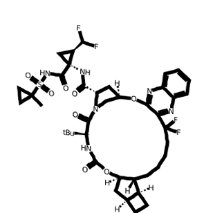 CC(C)(C)[C@@H]1NC(=O)O[C@@H]2C[C@@H]3CC[C@@H]3[C@H]2CCCCC(F)(F)c2nc3ccccc3nc2O[C@@H]2C[C@@H](C(=O)N[C@]3(C(=O)NS(=O)(=O)C4(C)CC4)C[C@H]3C(F)F)N(C2)C1=O